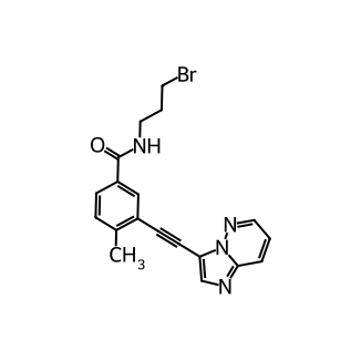 Cc1ccc(C(=O)NCCCBr)cc1C#Cc1cnc2cccnn12